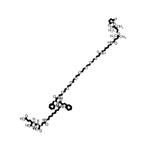 CC(C)(CCC(=O)NCCCCCCNC(=O)CCOCCOCCOCCOCCOCCOCCOCCOCCNC(=O)[C@H](Cc1ccccc1)NC(=O)C(Cc1ccccc1)NC(=O)CCCCCCCNC(=O)CC[C@H](NC(=O)NC(CCC(=O)O)C(=O)O)C(=O)O)OCCC(C)(C)C(=O)ON1C(=O)CCC1=O